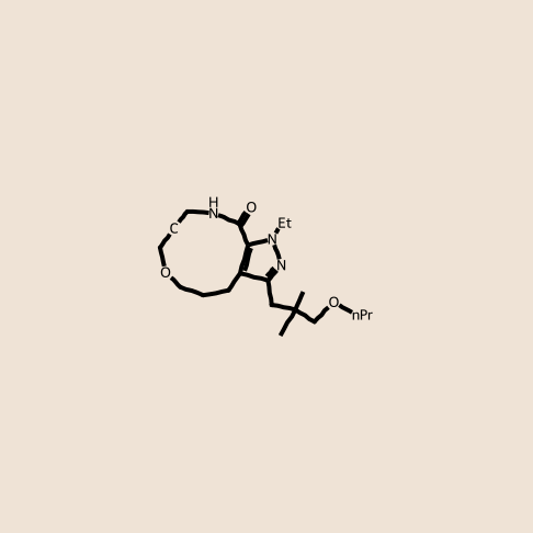 CCCOCC(C)(C)Cc1nn(CC)c2c1CCCOCCCNC2=O